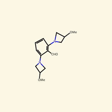 COC1CN(c2cccc(N3CC(OC)C3)c2C=O)C1